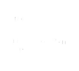 COCOC1=C(c2ccc(C)cc2C)C(=O)CC1